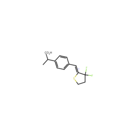 CC(C(=O)O)c1ccc(/C=C2\SCCC2(F)F)cc1